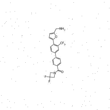 NCc1ccc(-c2ccc(-c3ccc(C(=O)N4CC(F)(F)C4)cc3)cc2C(F)(F)F)o1